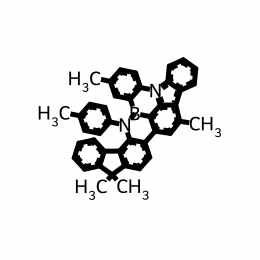 Cc1ccc(N2B3c4cc(C)ccc4-n4c5ccccc5c5c(C)cc(c3c54)-c3ccc4c(c32)-c2ccccc2C4(C)C)cc1